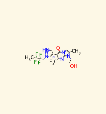 Cc1cn2c(=O)c(/C(C=N)=C/NCC(F)(F)C(C)(F)F)c(C(F)(F)F)nc2n1CCO